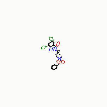 O=C(NC1CC12CCN(C(=O)OCc1ccccc1)CC2)c1cc(Cl)cc(Cl)c1